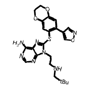 CC(C)(C)CNCCn1c(Sc2cc3c(cc2-c2cnoc2)OCCO3)nc2c(N)ncnc21